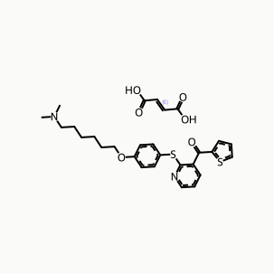 CN(C)CCCCCCOc1ccc(Sc2ncccc2C(=O)c2cccs2)cc1.O=C(O)/C=C/C(=O)O